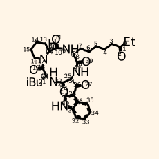 CCC(=O)CCCCC[C@@H]1NC(=O)[C@H]2CCCCN2C(=O)[C@H](C(C)CC)NC(=O)[C@H](C(=O)c2c[nH]c3ccccc23)NC1=O